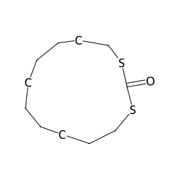 O=C1SCCCCCCCCCCS1